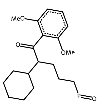 COc1cccc(OC)c1C(=O)C(CCCP=O)C1CCCCC1